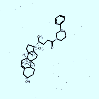 CC(CCC(=O)N1CCC[C@H](c2ccccc2)C1)[C@H]1CC[C@H]2[C@@H]3CC=C4C[C@@H](O)CC[C@]4(C)[C@H]3CC[C@]12C